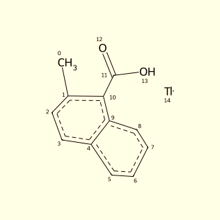 Cc1ccc2ccccc2c1C(=O)O.[Tl]